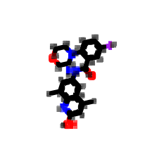 Cc1cc(O)nc2c(C)cc(NC(=O)c3cc(I)ccc3N3CCOCC3)cc12